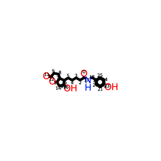 O=C(CCCCC1C2CCC(=O)OC2C[C@H]1O)NCc1ccc(O)cc1